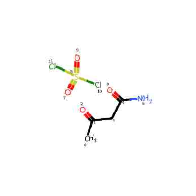 CC(=O)CC(N)=O.O=S(=O)(Cl)Cl